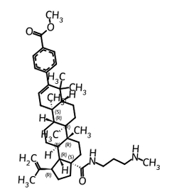 C=C(C)[C@@H]1CC[C@]2(C(=O)NCCCNC)CC[C@]3(C)[C@H](CC[C@@H]4[C@@]5(C)CC=C(c6ccc(C(=O)OC)cc6)C(C)(C)[C@@H]5CC[C@]43C)[C@@H]12